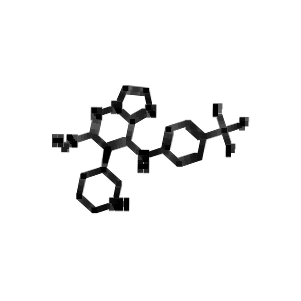 Nc1nn2ccnc2c(Nc2ccc(C(F)(F)F)cc2)c1[C@@H]1CCCNC1